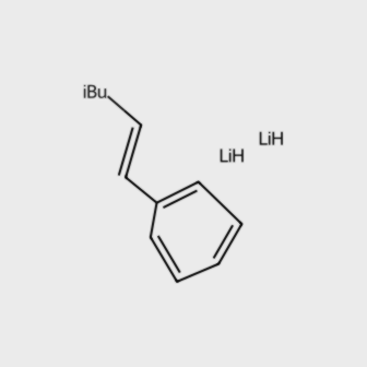 CCC(C)C=Cc1ccccc1.[LiH].[LiH]